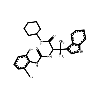 CC(C)c1cccc(C(C)C)c1NC(=O)NC(C(=O)NC1CCCCC1)C(C)(C)c1c[nH]c2ccccc12